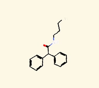 CCCCNC(=O)C(c1ccccc1)c1ccccc1